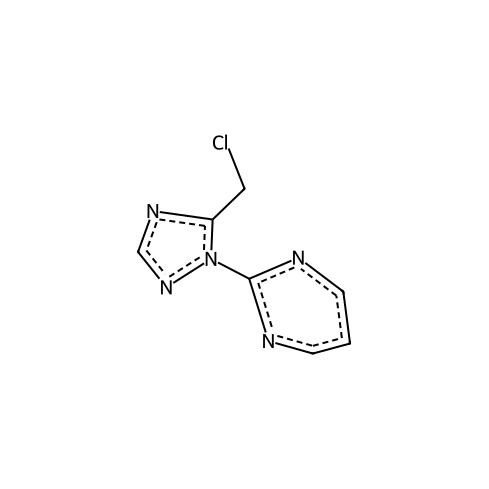 ClCc1ncnn1-c1ncccn1